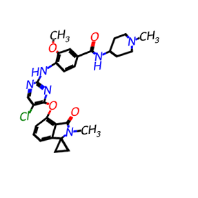 COc1cc(C(=O)NC2CCN(C)CC2)ccc1Nc1ncc(Cl)c(Oc2cccc3c2C(=O)N(C)C32CC2)n1